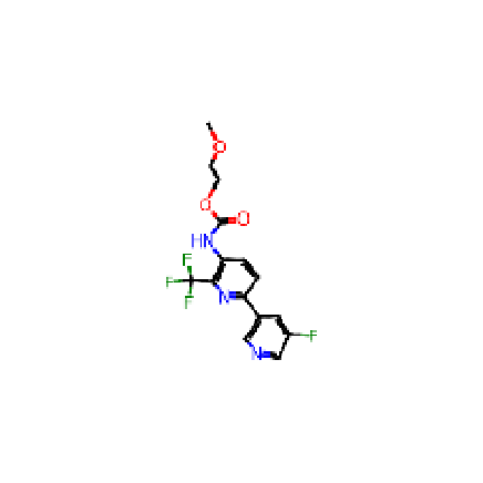 COCCOC(=O)Nc1ccc(-c2cncc(F)c2)nc1C(F)(F)F